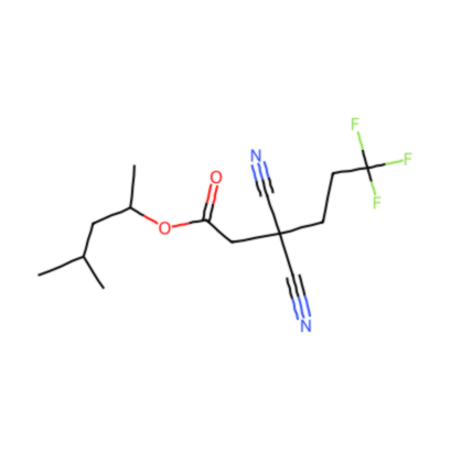 CC(C)CC(C)OC(=O)CC(C#N)(C#N)CCC(F)(F)F